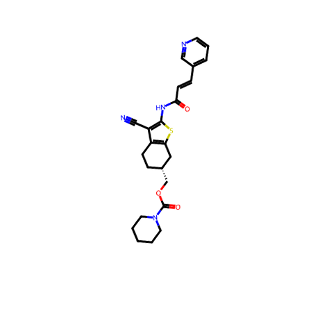 N#Cc1c(NC(=O)C=Cc2cccnc2)sc2c1CC[C@@H](COC(=O)N1CCCCC1)C2